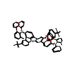 Cc1cccc(-c2ccccc2)c1N(c1ccccc1)c1ccc2c3cc4c(cc3n3c5ccc(C(C)(C)C)cc5c1c23)c1ccc(N(c2ccccc2)c2c(C)cccc2-c2ccccc2)c2c3cc(C(C)(C)C)ccc3n4c12